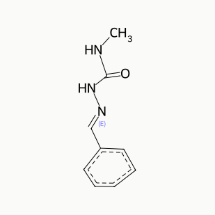 CNC(=O)N/N=C/c1ccccc1